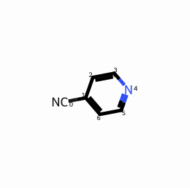 N#Cc1[c][c]ncc1